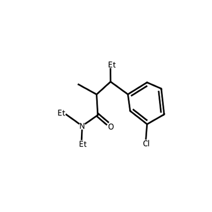 CCC(c1cccc(Cl)c1)C(C)C(=O)N(CC)CC